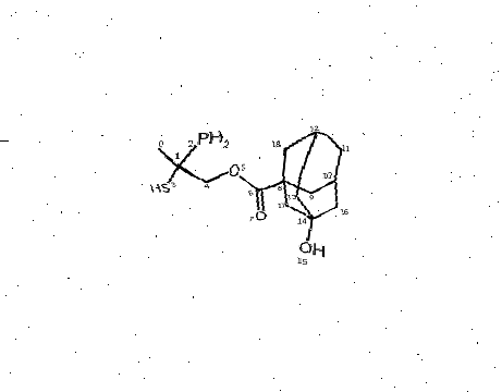 CC(P)(S)COC(=O)C12CC3CC(CC(O)(C3)C1)C2